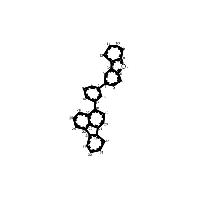 c1cc(-c2ccc3oc4ccccc4c3c2)cc(-c2ccc3c4c(cccc24)-c2ccccc2-3)c1